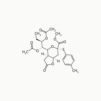 CC[C@@H](OC(C)=O)[C@@H](OC(C)=O)C1O[C@@](Sc2ccc(C)cc2)(C(=O)OC)C[C@H]2OC(=O)C[C@@H]12